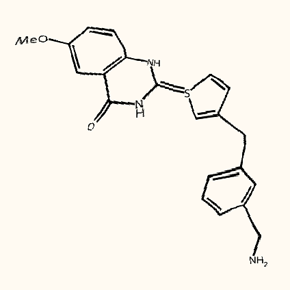 COc1ccc2[nH]c(=S3C=CC(Cc4cccc(CN)c4)=C3)[nH]c(=O)c2c1